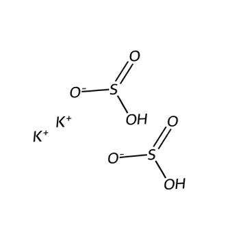 O=S([O-])O.O=S([O-])O.[K+].[K+]